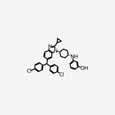 Oc1cccc(N[C@H]2CC[C@H](n3c(C4CC4)nc4ccc(C(c5ccc(Cl)cc5)c5ccc(Cl)cc5)cc43)CC2)c1